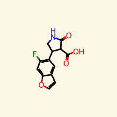 O=C(O)C1C(=O)NCC1c1cc2ccoc2cc1F